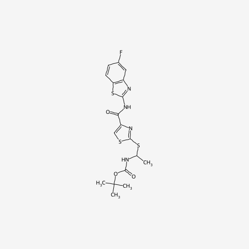 CC(NC(=O)OC(C)(C)C)Sc1nc(C(=O)Nc2nc3cc(F)ccc3s2)cs1